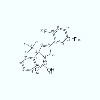 CC(C)(C)[C@]1(c2ccccc2)C=C(c2cc(F)ccc2F)CN1C(=O)O